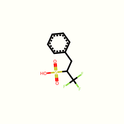 O=S(=O)(O)C(Cc1ccccc1)C(F)(F)F